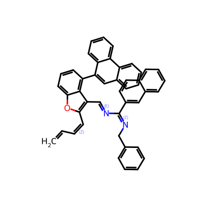 C=C/C=C\c1oc2cccc(-c3cc4ccccc4c4ccccc34)c2c1/C=N/C(=N\Cc1ccccc1)c1ccc2ccccc2c1